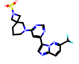 O=[SH](=O)N1CC2(CCCN(c3cc(-c4cnc5ccc(C(F)F)nn45)ncn3)C2)C1